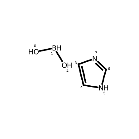 OBO.c1c[nH]cn1